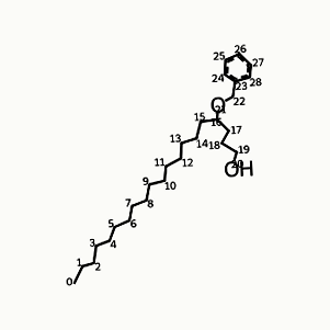 CCCCCCCCCCCCCCCCC(CCCO)OCc1ccccc1